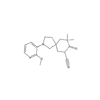 COc1ncccc1N1CCC2(CC(C#N)C(=O)C(C)(C)C2)C1